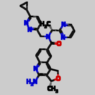 C[C@H](c1ncccn1)N(Cc1ccc(C2CC2)nn1)C(=O)c1ccc2nc(N)c3c(c2c1)CO[C@@H]3C